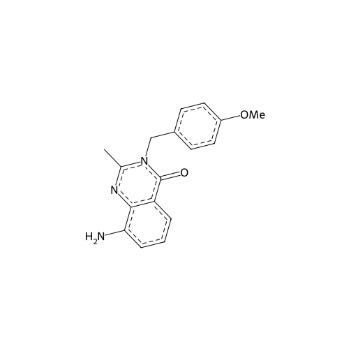 COc1ccc(Cn2c(C)nc3c(N)cccc3c2=O)cc1